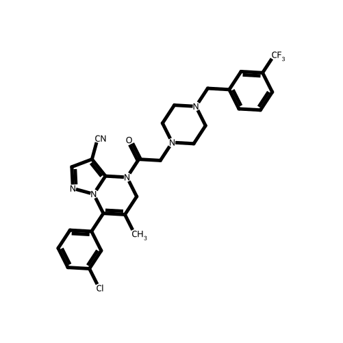 CC1=C(c2cccc(Cl)c2)n2ncc(C#N)c2N(C(=O)CN2CCN(Cc3cccc(C(F)(F)F)c3)CC2)C1